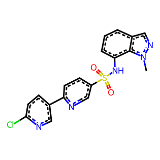 Cn1ncc2cccc(NS(=O)(=O)c3ccc(-c4ccc(Cl)nc4)nc3)c21